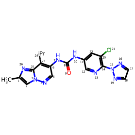 Cc1cn2ncc(NC(=O)Nc3cnc(-n4nccn4)c(Cl)c3)c(C(C)C)c2n1